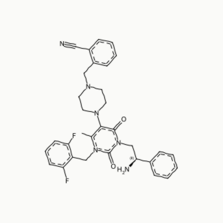 Cc1c(N2CCN(Cc3ccccc3C#N)CC2)c(=O)n(C[C@H](N)c2ccccc2)c(=O)n1Cc1c(F)cccc1F